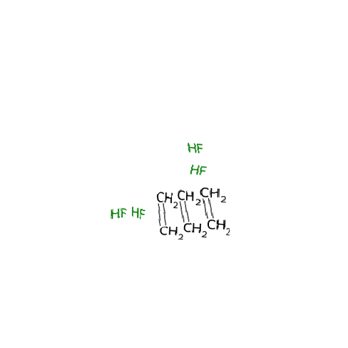 C=C.C=C.C=C.F.F.F.F